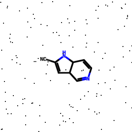 N#CC1=CC2C=NC=CC2N1